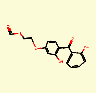 O=COCCOc1ccc(C(=O)c2ccccc2O)c(O)c1